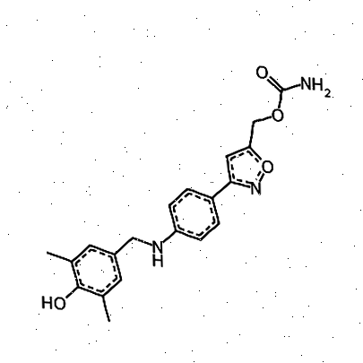 Cc1cc(CNc2ccc(-c3cc(COC(N)=O)on3)cc2)cc(C)c1O